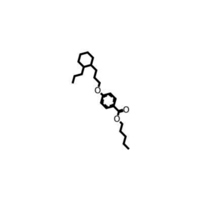 CCCCCOC(=O)c1ccc(OCCCC2CCCCC2CCC)cc1